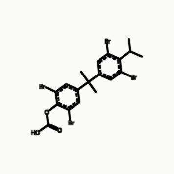 CC(C)c1c(Br)cc(C(C)(C)c2cc(Br)c(OC(=O)O)c(Br)c2)cc1Br